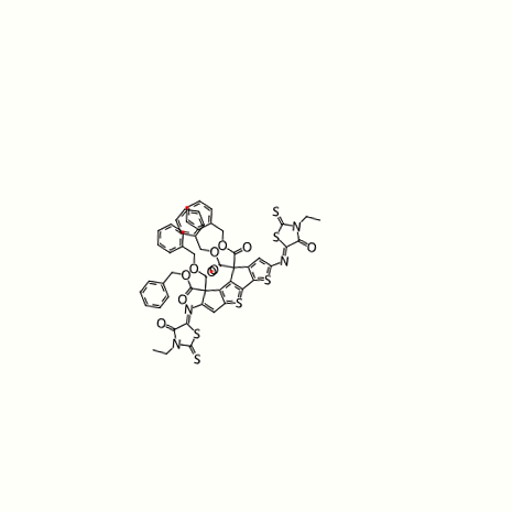 CCN1C(=O)/C(=N/C2=Cc3sc4c(c3C2(C(=O)OCc2ccccc2)C(=O)OCc2ccccc2)C(C(=O)OCc2ccccc2)(C(=O)OCc2ccccc2)c2cc(/N=C3\SC(=S)N(CC)C3=O)sc2-4)SC1=S